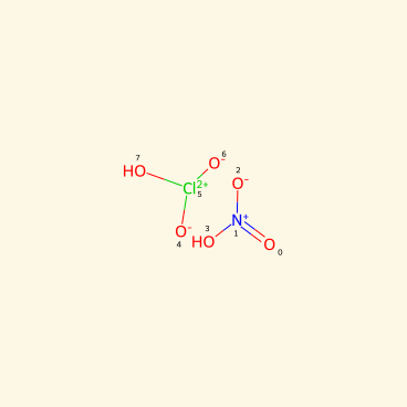 O=[N+]([O-])O.[O-][Cl+2]([O-])O